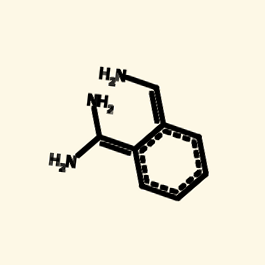 N/C=c1/ccccc1=C(N)N